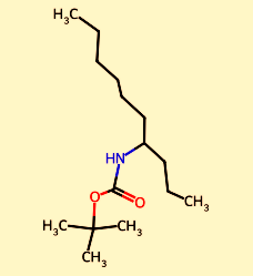 CCCCCCC(CCC)NC(=O)OC(C)(C)C